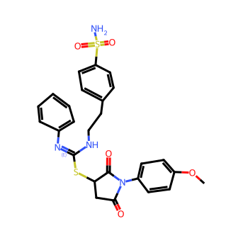 COc1ccc(N2C(=O)CC(S/C(=N/c3ccccc3)NCCc3ccc(S(N)(=O)=O)cc3)C2=O)cc1